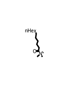 CCCCCCCCCCCC(=O)[N+](C)(C)C